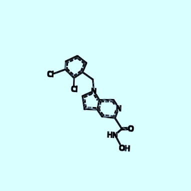 O=C(NO)c1cc2ccn(Cc3cccc(Cl)c3Cl)c2cn1